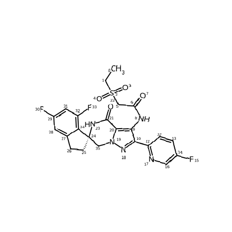 CCS(=O)(=O)CC(=O)Nc1c(-c2ccc(F)cn2)nn2c1C(=O)N[C@@]1(CCc3cc(F)cc(F)c31)C2